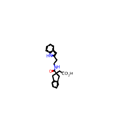 O=C(O)CC1(C(=O)NCCc2cc3ccccc3[nH]2)Cc2ccccc2C1